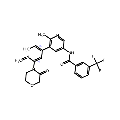 C=N/C(=C\C(=C/C)c1cc(NC(=O)c2cccc(C(F)(F)F)c2)cnc1C)N1CCOCC1=O